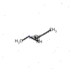 CCCCCCCC/C=C\CCCCCC(CC([NH])=O)C(CCCCCCCCCCCCCCCC)C(O)O